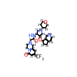 O=C(CN1CCn2c(cc(C(F)(F)F)cc2=O)C1)NC1CN(C2CCOCC2)C[C@@H]1OC1CCc2ccncc21